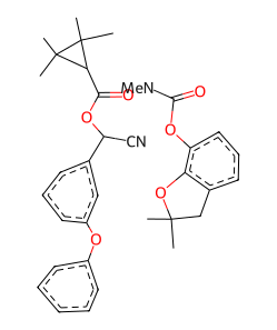 CC1(C)C(C(=O)OC(C#N)c2cccc(Oc3ccccc3)c2)C1(C)C.CNC(=O)Oc1cccc2c1OC(C)(C)C2